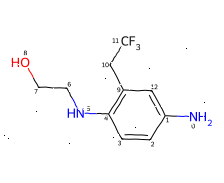 Nc1ccc(NCCO)c(CC(F)(F)F)c1